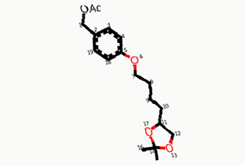 CC(=O)OCc1ccc(OCCCCC2COC(C)(C)O2)cc1